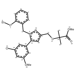 CCOc1ccccc1Cn1nc(COC(C)(C)C(=O)OC)cc1-c1cc(Cl)cc(OC)c1